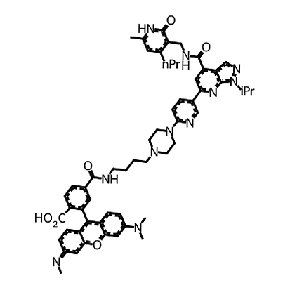 CCCc1cc(C)[nH]c(=O)c1CNC(=O)c1cc(-c2ccc(N3CCN(CCCCNC(=O)c4ccc(C(=O)O)c(-c5c6cc/c(=N/C)cc-6oc6cc(N(C)C)ccc56)c4)CC3)nc2)nc2c1cnn2C(C)C